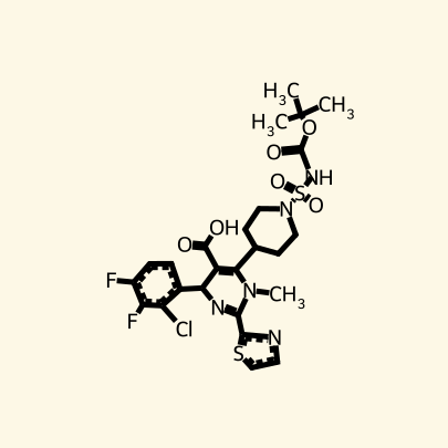 CN1C(c2nccs2)=NC(c2ccc(F)c(F)c2Cl)C(C(=O)O)=C1C1CCN(S(=O)(=O)NC(=O)OC(C)(C)C)CC1